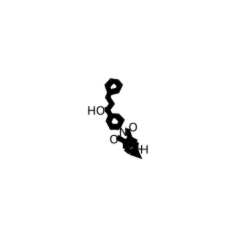 O=C1C2C3C=CC(C2C(=O)N1c1ccc(C(O)CCc2ccccc2)cc1)[C@H]1CC31